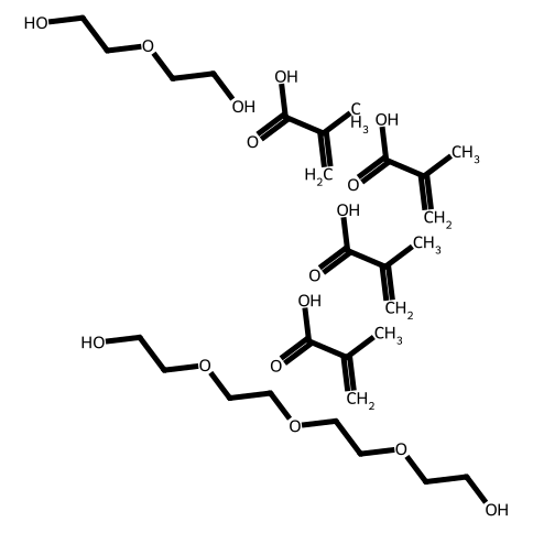 C=C(C)C(=O)O.C=C(C)C(=O)O.C=C(C)C(=O)O.C=C(C)C(=O)O.OCCOCCO.OCCOCCOCCOCCO